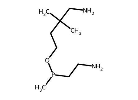 CP(CCN)OCCC(C)(C)CN